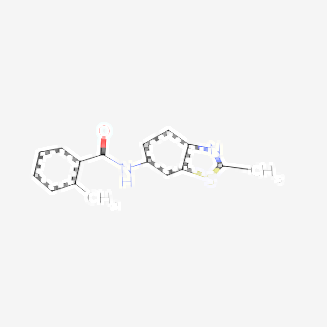 Cc1nc2ccc(NC(=O)c3ccccc3C)cc2s1